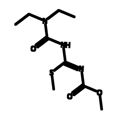 CCN(CC)C(=O)NC(=NC(=O)OC)SC